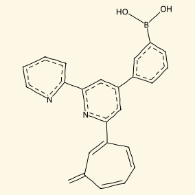 C=C1C=CC=CC(c2cc(-c3cccc(B(O)O)c3)cc(-c3ccccn3)n2)=C1